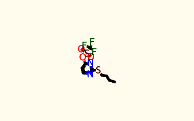 CCCCSc1nccc(OS(=O)(=O)C(F)(F)F)n1